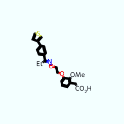 CC/C(=N\OCCOc1cccc(CC(=O)O)c1OC)c1ccc(-c2ccsc2)cc1